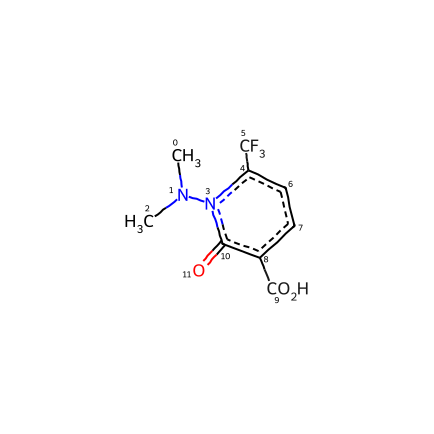 CN(C)n1c(C(F)(F)F)ccc(C(=O)O)c1=O